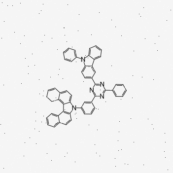 C1=Cc2ccc3c(c2CC1)c1c2ccccc2ccc1n3-c1cccc(-c2nc(-c3ccccc3)nc(-c3ccc4c(c3)c3ccccc3n4-c3ccccc3)n2)c1